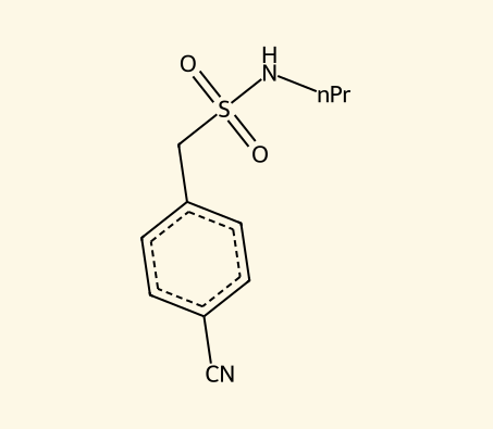 CCCNS(=O)(=O)Cc1ccc(C#N)cc1